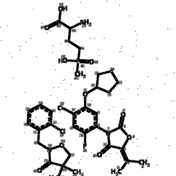 CC(C)=C1OC(=O)N(c2cc(OC3CCCC3)c(Cl)cc2F)C1=O.CC1(C)CON(Cc2ccccc2Cl)C1=O.CP(=O)(O)CCC(N)C(=O)O